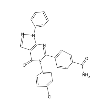 NC(=O)c1ccc(-c2nc3c(cnn3-c3ccccc3)c(=O)n2-c2ccc(Cl)cc2)cc1